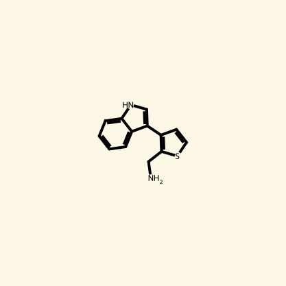 NCc1sccc1-c1c[nH]c2ccccc12